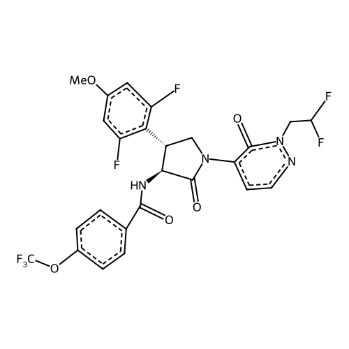 COc1cc(F)c([C@@H]2CN(c3ccnn(CC(F)F)c3=O)C(=O)[C@H]2NC(=O)c2ccc(OC(F)(F)F)cc2)c(F)c1